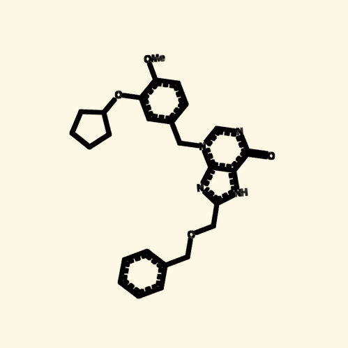 COc1ccc(Cn2cnc(=O)c3[nH]c(COCc4ccccc4)nc32)cc1OC1CCCC1